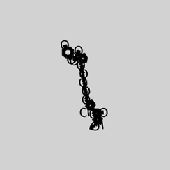 CCOc1cc2oc(-c3ccc(OCCOCCOCCOCCOc4cccc5c4C(=O)N(C4CCC(=O)CCCC4=O)C5=O)cc3Cl)cc(=O)c2cc1I